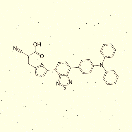 N#CC(Cc1ccc(-c2ccc(-c3ccc(N(c4ccccc4)c4ccccc4)cc3)c3nsnc23)s1)C(=O)O